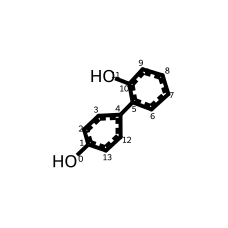 Oc1ccc(-c2ccc[c]c2O)cc1